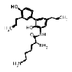 C=CCc1cc(NC(=O)[C@@H](N)CCCCN)c(O)c(-c2ccc(O)c(CC=C)c2)c1